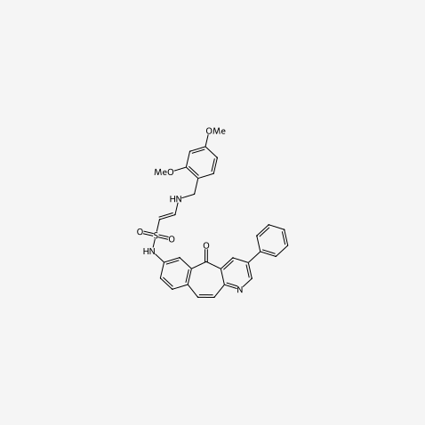 COc1ccc(CNC=CS(=O)(=O)Nc2ccc3ccc4ncc(-c5ccccc5)cc4c(=O)c3c2)c(OC)c1